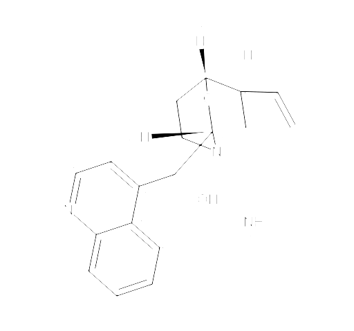 C=C[C@H]1C[N@]2CC[C@H]1C[C@H]2[C@H](O)c1ccnc2ccccc12.N